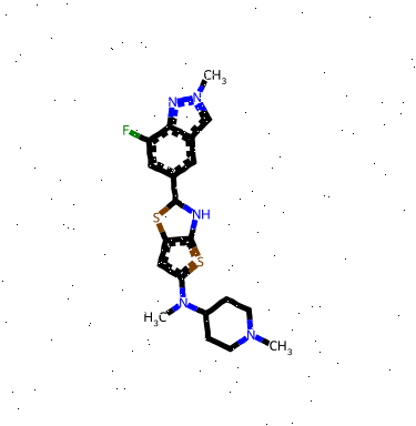 CN1CCC(N(C)c2cc3c(s2)NC(c2cc(F)c4nn(C)cc4c2)S3)CC1